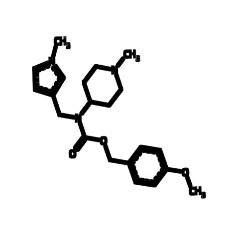 COc1ccc(COC(=O)N(Cc2ccn(C)c2)C2CCN(C)CC2)cc1